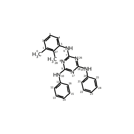 Cc1cccc(Nc2nc(Nc3ccccc3)nc(Nc3ccccc3)n2)c1C